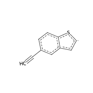 C#Cc1ccc2s[c]cc2c1